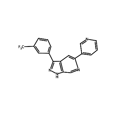 FC(F)(F)c1cccc(-c2n[nH]c3cnc(-c4cccnc4)cc23)c1